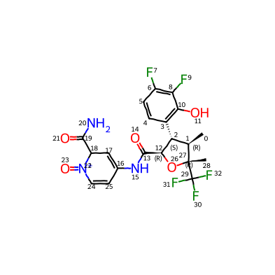 C[C@@H]1[C@@H](c2ccc(F)c(F)c2O)[C@H](C(=O)NC2=CC(C(N)=O)[N+](=O)C=C2)O[C@@]1(C)C(F)(F)F